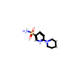 NS(=O)(=O)c1ccc(N2CCCCC2)nc1